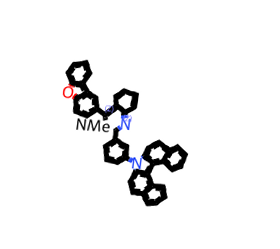 CN/C(=C1/C=CC=C/C1=N/Cc1cccc(-n2c3ccc4ccccc4c3c3c4ccccc4ccc32)c1)c1ccc2oc3ccccc3c2c1